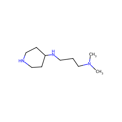 CN(C)CCCNC1CCNCC1